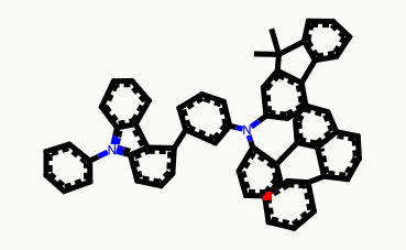 CC1(C)c2ccccc2-c2ccc(N(c3cccc(-c4cccc5c4c4ccccc4n5-c4ccccc4)c3)c3ccccc3-c3cccc4cccc(-c5ccccc5)c34)cc21